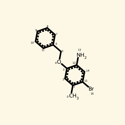 Cc1cc(OCc2ccccc2)c(N)cc1Br